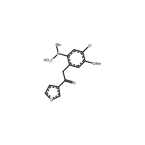 COc1cc(CC(=O)c2ccoc2)c(N(C(=O)O)C(C)(C)C)cc1Cl